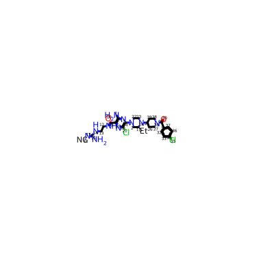 CC[C@H]1CN(c2nc(N)c(C(=O)NCCN/C(N)=N/C#N)nc2Cl)CCN1C1CCN(C(=O)c2ccc(Cl)cc2)CC1